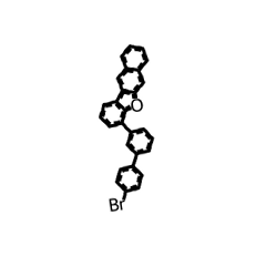 Brc1ccc(-c2cccc(-c3cccc4c3oc3cc5ccccc5cc34)c2)cc1